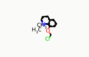 CC.ClCOc1cccc2cccnc12